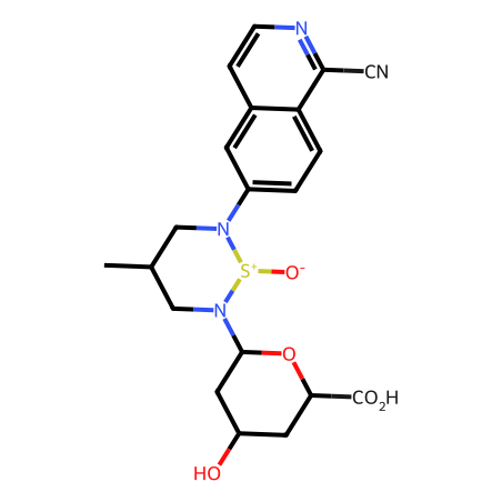 CC1CN(c2ccc3c(C#N)nccc3c2)[S+]([O-])N(C2CC(O)CC(C(=O)O)O2)C1